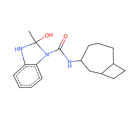 CC1(O)Nc2ccccc2N1C(=O)NC1CCCC2CCC2C1